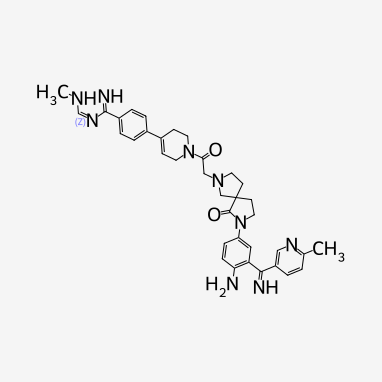 CN/C=N\C(=N)c1ccc(C2=CCN(C(=O)CN3CCC4(CCN(c5ccc(N)c(C(=N)c6ccc(C)nc6)c5)C4=O)C3)CC2)cc1